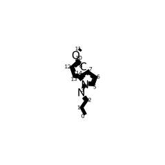 CCC=Nn1ccc2cc(OC)ccc21